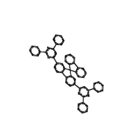 c1ccc(-c2cc(-c3ccc4c(c3)C3(c5ccccc5-c5ccccc53)c3cc(-c5cc(-c6ccccc6)nc(-c6ccccc6)n5)ccc3-4)nc(-c3ccccc3)n2)cc1